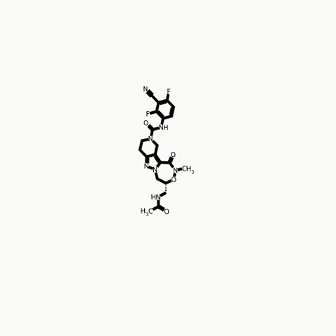 CC(=O)NC[C@@H]1Cn2nc3c(c2C(=O)N(C)O1)CN(C(=O)Nc1ccc(F)c(C#N)c1F)CC3